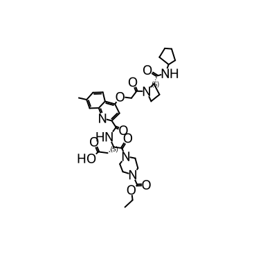 CCOC(=O)N1CCN(C(=O)[C@H](CC(=O)O)NC(=O)c2cc(OCC(=O)N3CC[C@H]3C(=O)NC3CCCC3)c3ccc(C)cc3n2)CC1